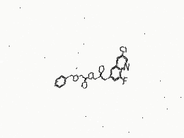 O=C(COC(=O)COCc1ccccc1)Cc1cc(F)c2ncc(Cl)cc2c1